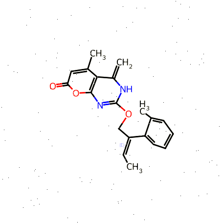 C=C1NC(OC/C(=C/C)c2ccccc2C)=Nc2oc(=O)cc(C)c21